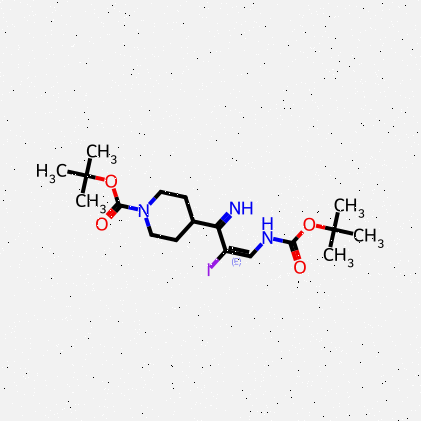 CC(C)(C)OC(=O)N/C=C(/I)C(=N)C1CCN(C(=O)OC(C)(C)C)CC1